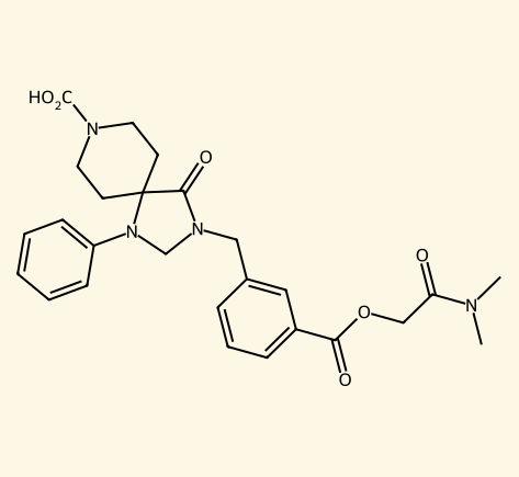 CN(C)C(=O)COC(=O)c1cccc(CN2CN(c3ccccc3)C3(CCN(C(=O)O)CC3)C2=O)c1